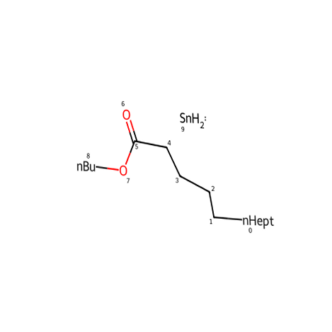 CCCCCCCCCCCC(=O)OCCCC.[SnH2]